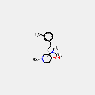 CN(C)[C@]1(CCc2cccc(C(F)(F)F)c2)CN(C(C)(C)C)CC[C@@H]1O